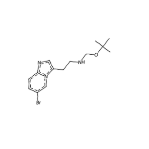 CC(C)(C)OCNCCc1cnc2ccc(Br)cn12